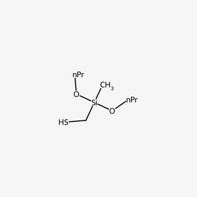 CCCO[Si](C)(CS)OCCC